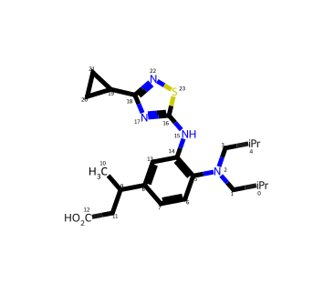 CC(C)CN(CC(C)C)c1ccc(C(C)CC(=O)O)cc1Nc1nc(C2CC2)ns1